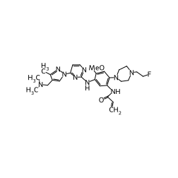 C=CC(=O)Nc1cc(Nc2nccc(-n3cc(CN(C)C)c(C)n3)n2)c(OC)cc1N1CCN(CCF)CC1